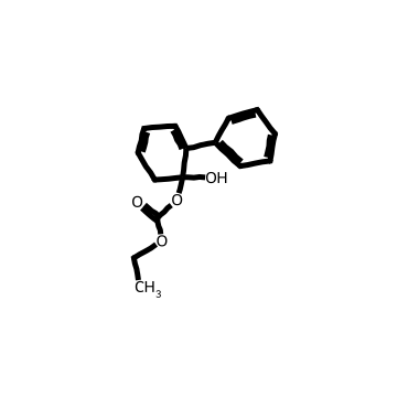 CCOC(=O)OC1(O)CC=CC=C1c1ccccc1